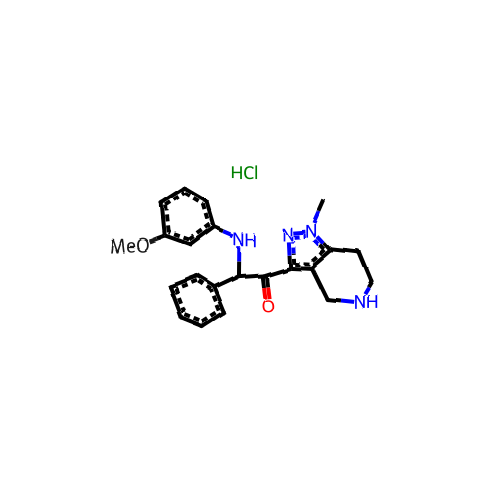 COc1cccc(NC(C(=O)c2nn(C)c3c2CNCC3)c2ccccc2)c1.Cl